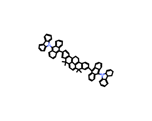 CC1(C)c2cc(-c3c4ccccc4c(N4c5ccccc5C5CCC=CC54)c4ccccc34)ccc2C2=c3c1ccc1c3=C(CC2)c2ccc(-c3c4ccccc4c(-n4c5ccccc5c5ccccc54)c4ccccc34)cc2C1(C)C